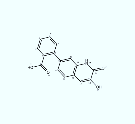 O=C(O)c1ccncc1-c1ccc2cc(O)c(=O)[nH]c2c1